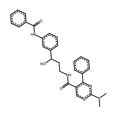 CN(C)c1ncc(C(=O)NCCC(O)c2cccc(NC(=O)c3ccccc3)c2)c(-c2ccccc2)n1